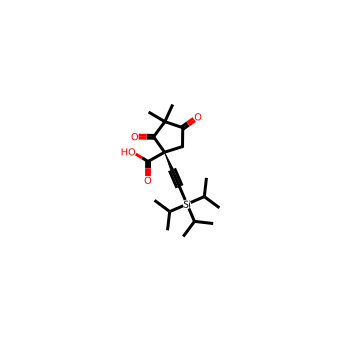 CC(C)[Si](C#C[C@]1(C(=O)O)CC(=O)C(C)(C)C1=O)(C(C)C)C(C)C